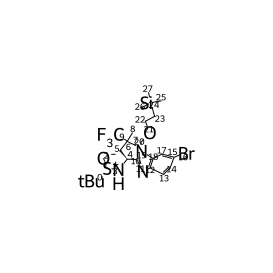 CC(C)(C)[S@+]([O-])N[C@@H](CC(C)(C)C(F)(F)F)c1nc2ccc(Br)cc2n1COCC[Si](C)(C)C